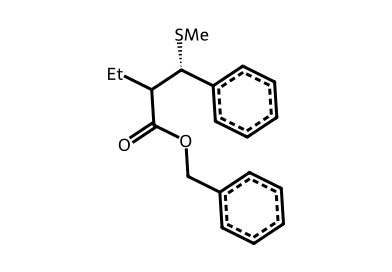 CCC(C(=O)OCc1ccccc1)[C@H](SC)c1ccccc1